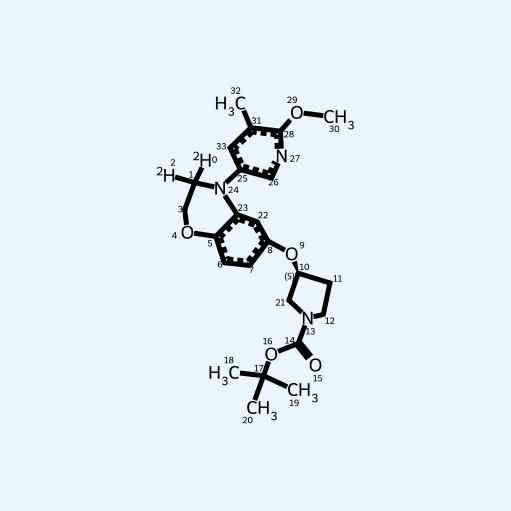 [2H]C1([2H])COc2ccc(O[C@H]3CCN(C(=O)OC(C)(C)C)C3)cc2N1c1cnc(OC)c(C)c1